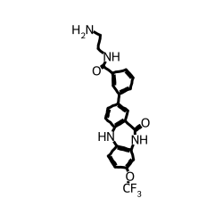 NCCNC(=O)c1cccc(-c2ccc3c(c2)C(=O)Nc2cc(OC(F)(F)F)ccc2N3)c1